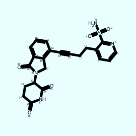 NS(=O)(=O)c1ncccc1CCC#Cc1cccc2c1CN(C1CCC(=O)NC1=O)C2=O